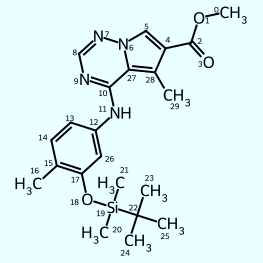 COC(=O)c1cn2ncnc(Nc3ccc(C)c(O[Si](C)(C)C(C)(C)C)c3)c2c1C